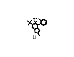 COc1c(C(C)(C)C)cc2c(c1-c1ccccc1C)C=C(C)C2.[Li]